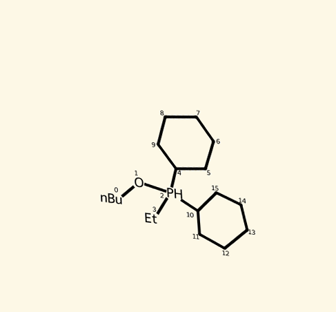 CCCCO[PH](CC)(C1CCCCC1)C1CCCCC1